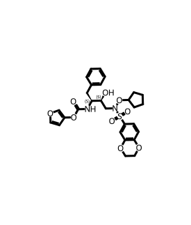 O=C(N[C@@H](Cc1ccccc1)[C@@H](O)CN(OC1CCCC1)S(=O)(=O)c1ccc2c(c1)OCCO2)Oc1ccoc1